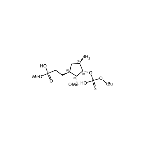 B[C@@H]1C[C@H](CCP(=O)(O)OC)[C@@H](OC)[C@H]1OP(O)(=S)OC(C)(C)C